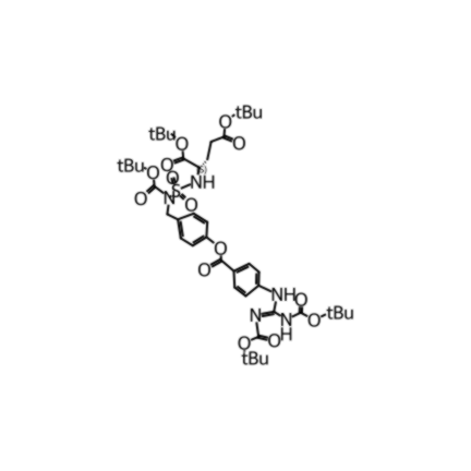 CC(C)(C)OC(=O)CC[C@H](NS(=O)(=O)N(Cc1ccc(OC(=O)c2ccc(NC(=NC(=O)OC(C)(C)C)NC(=O)OC(C)(C)C)cc2)cc1)C(=O)OC(C)(C)C)C(=O)OC(C)(C)C